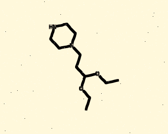 CCOC(CCN1CCNCC1)OCC